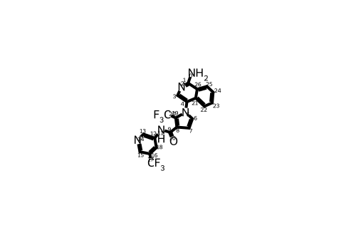 Nc1ncc(-n2ccc(C(=O)Nc3cncc(C(F)(F)F)c3)c2C(F)(F)F)c2ccccc12